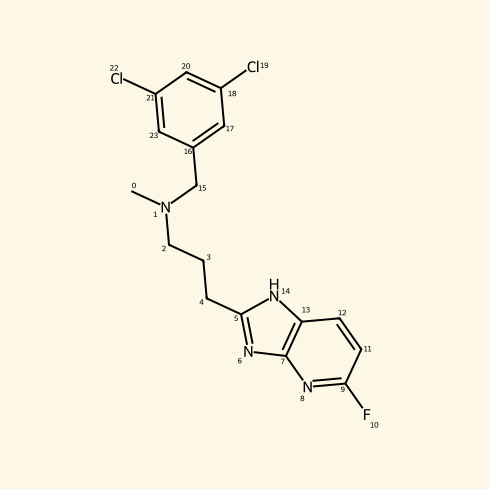 CN(CCCc1nc2nc(F)ccc2[nH]1)Cc1cc(Cl)cc(Cl)c1